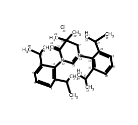 CC(C)c1cccc(C(C)C)c1N1C=[N+](c2c(C(C)C)cccc2C(C)C)CC(C)(C)C1=O.[Cl-]